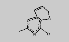 CCc1nc(C)cc2c1OCC=C2